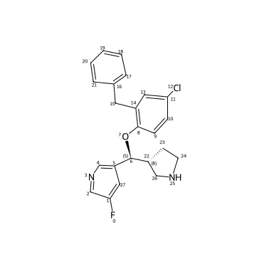 Fc1cncc([C@@H](Oc2ccc(Cl)cc2Cc2ccccc2)[C@@H]2CCNC2)c1